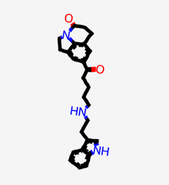 O=C(CCCCNCCc1c[nH]c2ccccc12)c1cc2c3c(c1)CCN3C(=O)CC2